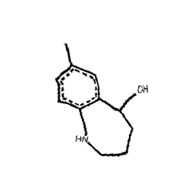 Cc1ccc2c(c1)C(O)CCCN2